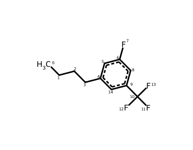 CCCCc1cc(F)cc(C(F)(F)F)c1